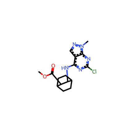 COC(=O)C1C2CCC(CC2)C1Nc1nc(Cl)nc2c1cnn2C